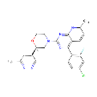 Cc1cc([C@@H]2CN(c3nc(-c4ccc(Cl)cc4F)c4ccc(C)nc4n3)CCO2)cnn1